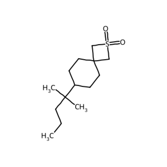 CCCC(C)(C)C1CCC2(CC1)CS(=O)(=O)C2